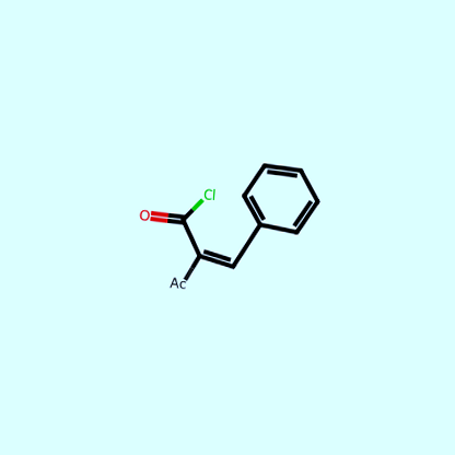 CC(=O)C(=Cc1ccccc1)C(=O)Cl